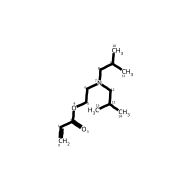 C=CC(=O)OCCN(CC(C)C)CC(C)C